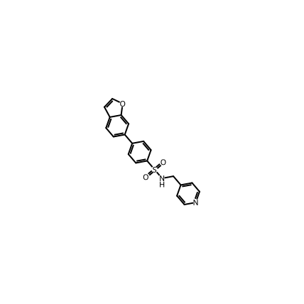 O=S(=O)(NCc1ccncc1)c1ccc(-c2ccc3ccoc3c2)cc1